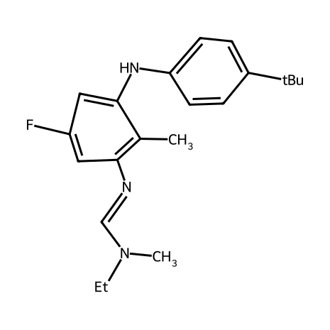 CCN(C)C=Nc1cc(F)cc(Nc2ccc(C(C)(C)C)cc2)c1C